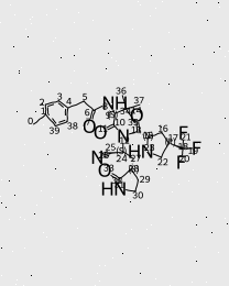 Cc1ccc(CC(=O)N[C@H](C(=O)N(C(=O)[C@@H]2C[C@@H](C(F)(F)F)CN2)[C@H](C#N)C[C@@H]2CCNC2=O)C(C)(C)C)cc1